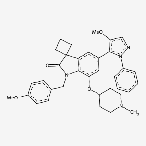 COc1ccc(CN2C(=O)C3(CCC3)c3cc(-c4c(OC)cnn4-c4ccccc4)cc(OC4CCN(C)CC4)c32)cc1